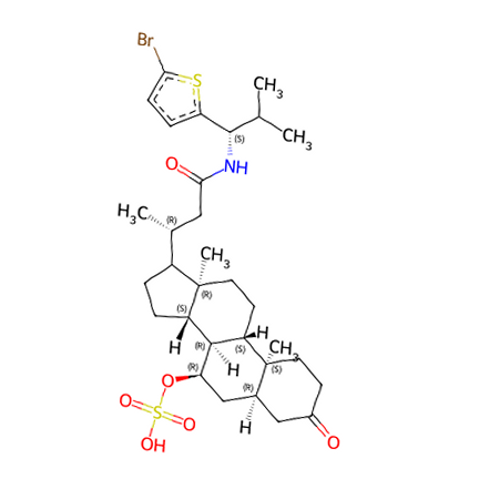 CC(C)[C@H](NC(=O)C[C@@H](C)C1CC[C@H]2[C@@H]3[C@H](OS(=O)(=O)O)C[C@@H]4CC(=O)CC[C@]4(C)[C@H]3CC[C@]12C)c1ccc(Br)s1